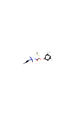 CC#CC(C)(C)NC(=O)C(Oc1cc(Cl)cc(Cl)c1)SCC